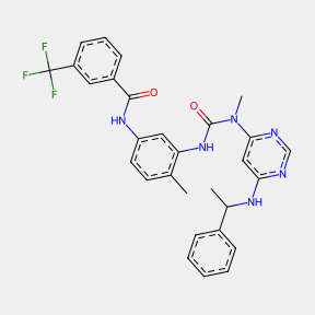 Cc1ccc(NC(=O)c2cccc(C(F)(F)F)c2)cc1NC(=O)N(C)c1cc(NC(C)c2ccccc2)ncn1